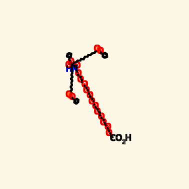 CP(=O)(CCCCCCCCCCCCCCC(CCCCCCCCCCCCCCP(C)(=O)OCc1ccccc1)(C(=O)NCCOCCOCCOCCOCCOCCOCCOCCOCCOCCOCCOCCOCCC(=O)O)C(=O)OCc1ccccc1)OCc1ccccc1